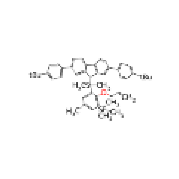 C=CCOc1c([Si](C)(C)C)cc(C)cc1[Si](C)(C)C1c2cc(-c3ccc(C(C)(C)C)cc3)ccc2-c2ccc(-c3ccc(C(C)(C)C)cc3)cc21